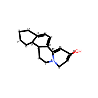 OC1=CCN2CCC3C(=CC=C4CCCCC43)C2=C1